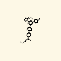 CCOC(=O)C1CCN(c2ccc(-c3cc(-c4ccc(F)cc4)nc(N4CCCC4C)n3)cn2)CC1